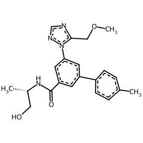 COCc1ncnn1-c1cc(C(=O)N[C@@H](C)CO)cc(-c2ccc(C)cc2)c1